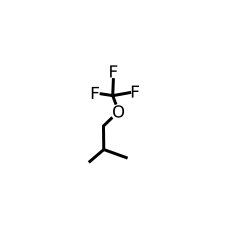 CC(C)COC(F)(F)F